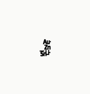 [Au].[Li].[Sn].[Zn]